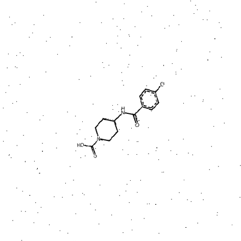 O=C(NC1CCN(C(=O)O)CC1)c1ccc(Cl)cc1